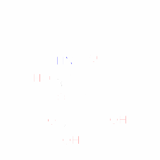 CCCC(=O)NC1Cc2cc(O)cc(C(=O)O)c2OB1O